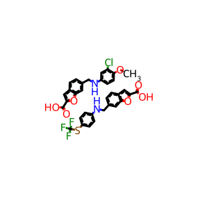 COc1ccc(NCc2ccc3cc(C(=O)O)oc3c2)cc1Cl.O=C(O)c1cc2ccc(CNc3ccc(SC(F)(F)F)cc3)cc2o1